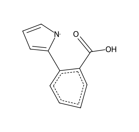 O=C(O)c1ccccc1C1=CC=C[N]1